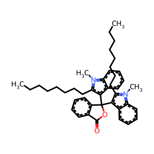 CCCCCCCCc1c(C2(c3c(CCCCCCCC)n(C)c4ccccc34)OC(=O)c3ccccc32)c2ccccc2n1C